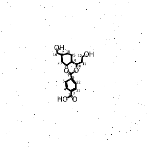 O=C(O)c1ccc(C(=O)OC(CCO)C2CCC(CO)CC2)cc1